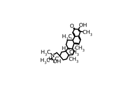 CC1=C(O)C(=O)C=C2C1=CC=C1[C@@]2(C)CC[C@@]2(C)[C@@H]3C[C@](C)(CN(C)C(C)O)CC[C@]3(C)CC[C@]12C